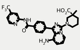 C[C@]1(C(=O)O)CCCN(c2nc(-c3ccc(C(=O)Nc4cc(C(F)(F)F)ccn4)cc3)c3c(N)cccn23)C1